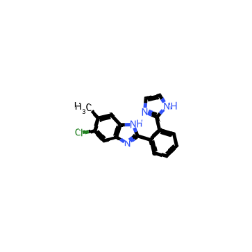 Cc1cc2[nH]c(-c3ccccc3-c3ncc[nH]3)nc2cc1Cl